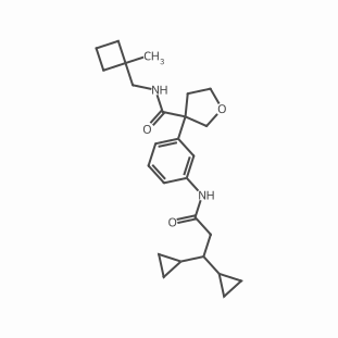 CC1(CNC(=O)C2(c3cccc(NC(=O)CC(C4CC4)C4CC4)c3)CCOC2)CCC1